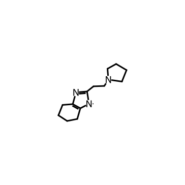 C1CCC2=C(C1)[N]C(CCN1CCCC1)=N2